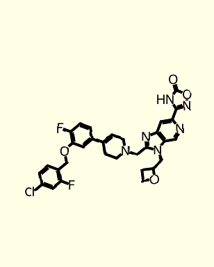 O=c1[nH]c(-c2cc3nc(CN4CC=C(c5ccc(F)c(OCc6ccc(Cl)cc6F)c5)CC4)n(CC4CCO4)c3cn2)no1